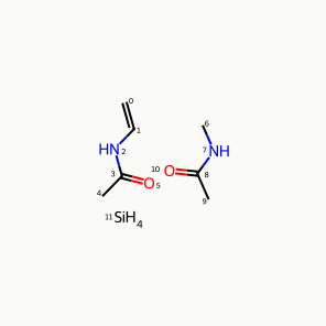 C=CNC(C)=O.CNC(C)=O.[SiH4]